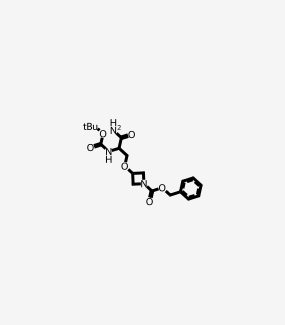 CC(C)(C)OC(=O)NC(COC1CN(C(=O)OCc2ccccc2)C1)C(N)=O